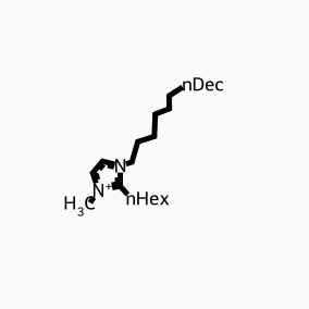 CCCCCCCCCCCCCCCCn1cc[n+](C)c1CCCCCC